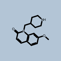 COc1ccc2ccc(=O)n(CC3CCNCC3)c2c1